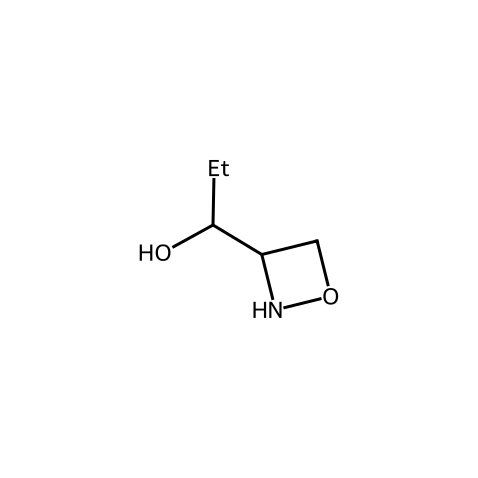 CCC(O)C1CON1